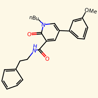 CCCCn1cc(-c2cccc(OC)c2)cc(C(=O)NCCc2ccccc2)c1=O